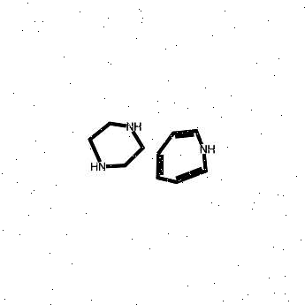 C1=CC=CNC=C1.C1CNCCN1